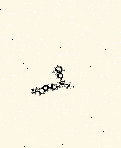 C[C@@H](Cn1cncn1)Oc1cc(-c2cnc(Nc3cn(C4CCC(N5[C@@H]6CC[C@H]5COC6)CC4)nc3OCC(C)(C)O)nc2)ccc1C#N